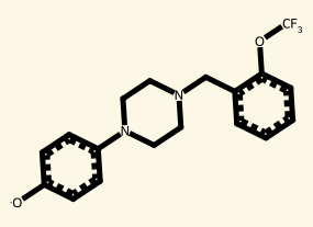 [O]c1ccc(N2CCN(Cc3ccccc3OC(F)(F)F)CC2)cc1